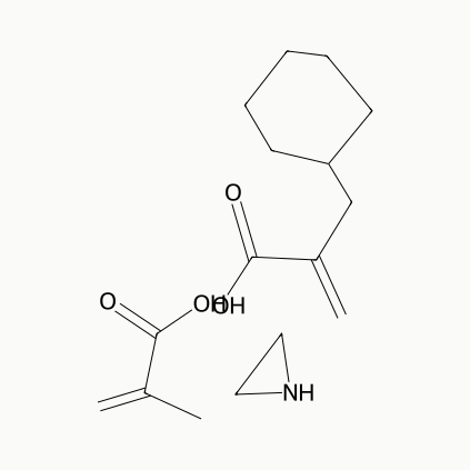 C1CN1.C=C(C)C(=O)O.C=C(CC1CCCCC1)C(=O)O